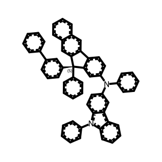 c1ccc(-c2cccc([C@]3(c4ccccc4)c4cc(N(c5ccccc5)c5ccc6c(c5)c5ccccc5n6-c5ccccc5)ccc4-c4cc5ccccc5cc43)c2)cc1